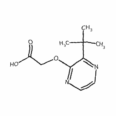 CC(C)(C)c1nccnc1OCC(=O)O